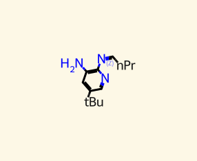 CCC/C=N\c1ncc(C(C)(C)C)cc1N